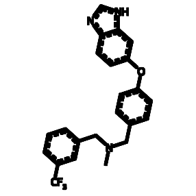 CN(Cc1ccc(Oc2ccc3nc[nH]c3c2)cc1)Cc1cccc(C(F)(F)F)c1